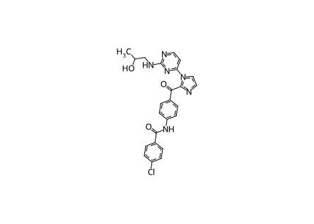 CC(O)CNc1nccc(-n2ccnc2C(=O)c2ccc(NC(=O)c3ccc(Cl)cc3)cc2)n1